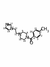 Cc1ccc(C(=O)N2CCN(CCn3ccnc3)CC2)cc1